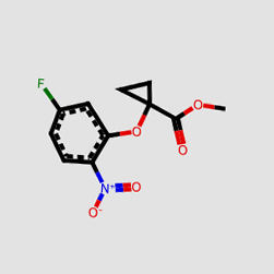 COC(=O)C1(Oc2cc(F)ccc2[N+](=O)[O-])CC1